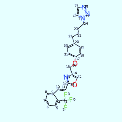 FC(F)(F)c1ccccc1C=Cc1nc(COc2ccc(CCCCn3ccnn3)cc2)co1